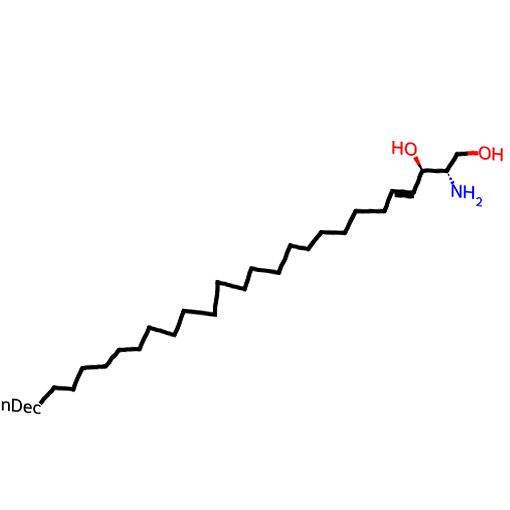 CCCCCCCCCCCCCCCCCCCCCCCCCCCCCC/C=C/[C@@H](O)[C@@H](N)CO